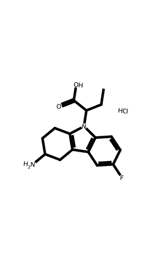 CCC(C(=O)O)n1c2c(c3cc(F)ccc31)CC(N)CC2.Cl